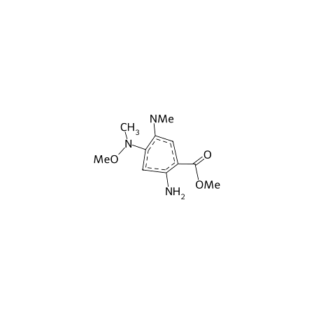 CNc1cc(C(=O)OC)c(N)cc1N(C)OC